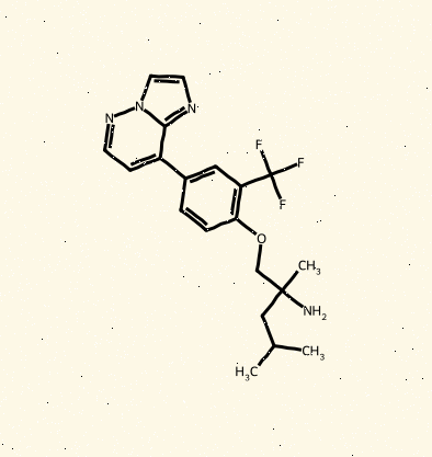 CC(C)CC(C)(N)COc1ccc(-c2ccnn3ccnc23)cc1C(F)(F)F